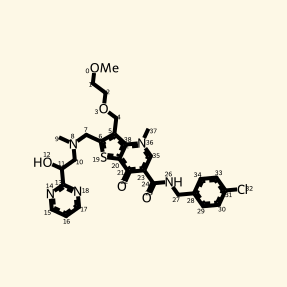 COCCOCc1c(CN(C)CC(O)c2ncccn2)sc2c(=O)c(C(=O)NCc3ccc(Cl)cc3)cn(C)c12